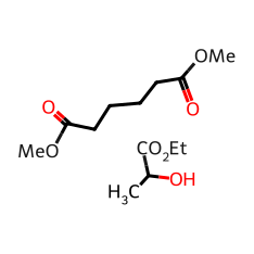 CCOC(=O)C(C)O.COC(=O)CCCCC(=O)OC